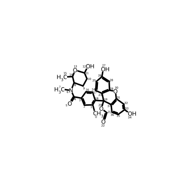 Cc1cc(C(=O)N(C)C2CCC(O)OC2C)ccc1C1(OC=O)c2ccc(O)cc2Oc2cc(O)ccc21